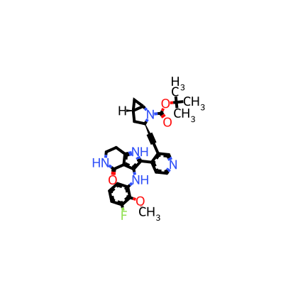 COc1c(F)cccc1Nc1c(-c2ccncc2C#C[C@H]2C[C@@H]3CC3N2C(=O)OC(C)(C)C)[nH]c2c1C(=O)NCC2